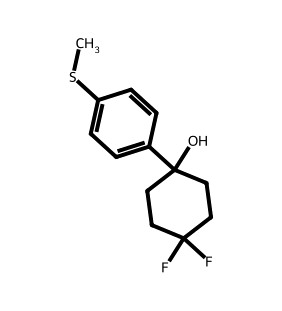 CSc1ccc(C2(O)CCC(F)(F)CC2)cc1